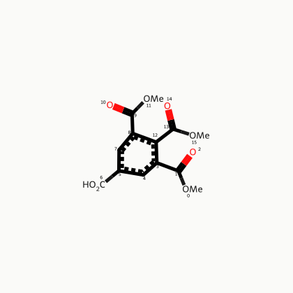 COC(=O)c1cc(C(=O)O)cc(C(=O)OC)c1C(=O)OC